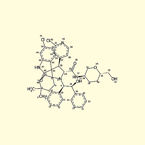 CC1(C)CCC2(CC1)N([C@H](c1ccccc1)[C@@H](O)c1ccccc1)[C@@H](C(=O)N[C@@H]1CC[C@@H](CO)OC1)[C@H](c1ccnc(Cl)c1)C21C(=O)Nc2cc(Cl)ccc21